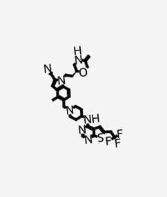 C=C1CO[C@@H](CCn2c(C#N)cc3c(C)c(CN4CCC(Nc5ncnc6sc(CC(F)(F)F)cc56)CC4)ccc32)CN1